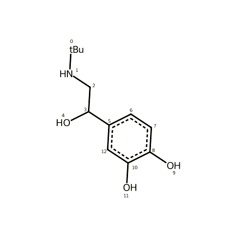 CC(C)(C)NCC(O)c1ccc(O)c(O)c1